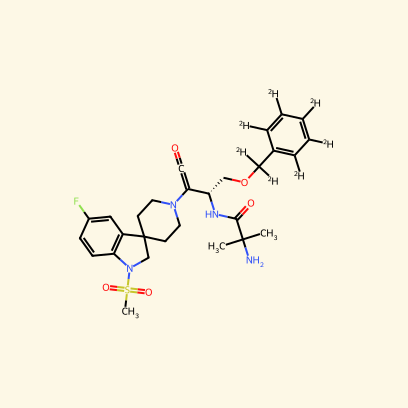 [2H]c1c([2H])c([2H])c(C([2H])([2H])OC[C@H](NC(=O)C(C)(C)N)C(=C=O)N2CCC3(CC2)CN(S(C)(=O)=O)c2ccc(F)cc23)c([2H])c1[2H]